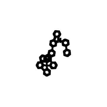 c1ccc(-c2cccc(-n3c4ccccc4c4ccc(-c5ccc6c(c5)c5ccccc5n6-c5ccccc5C5(c6ccccc6)c6ccccc6-c6ccccc65)cc43)c2)cc1